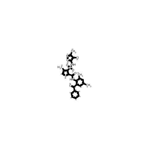 Cc1cc(C)c(NC(=O)c2scc(C)c2S(=O)(=O)Nc2onc(C)c2Cl)c(C(=O)c2ccccc2)c1